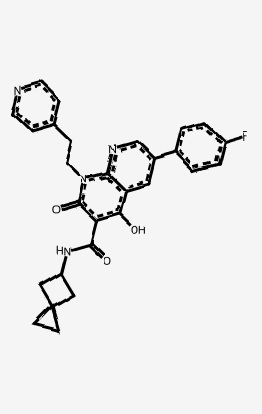 O=C(NC1CC2(CC2)C1)c1c(O)c2cc(-c3ccc(F)cc3)cnc2n(CCc2ccncc2)c1=O